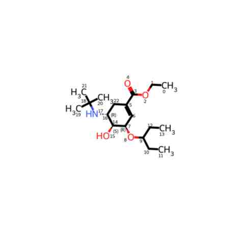 CCOC(=O)C1=C[C@@H](OC(CC)CC)[C@@H](O)[C@H](NC(C)(C)C)C1